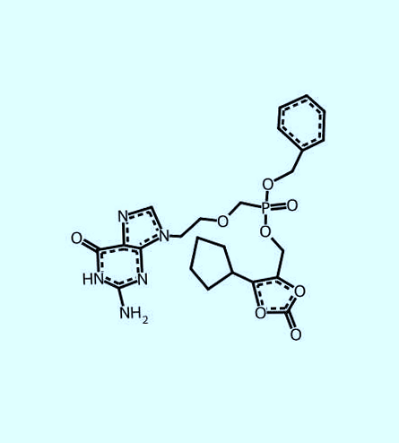 Nc1nc2c(ncn2CCOCP(=O)(OCc2ccccc2)OCc2oc(=O)oc2C2CCCC2)c(=O)[nH]1